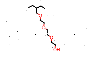 CCC(CC)COCCOCCOCCO